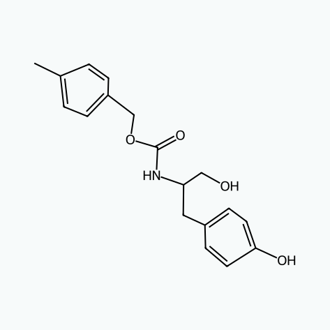 Cc1ccc(COC(=O)NC(CO)Cc2ccc(O)cc2)cc1